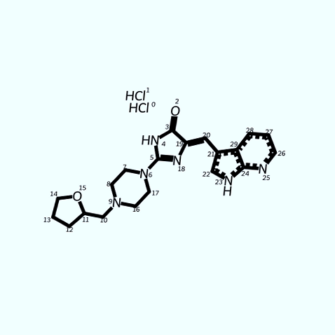 Cl.Cl.O=C1NC(N2CCN(CC3CCCO3)CC2)=NC1=Cc1c[nH]c2ncccc12